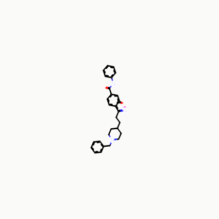 O=C(Nc1ccccc1)c1ccc2c(CCC3CCN(Cc4ccccc4)CC3)noc2c1